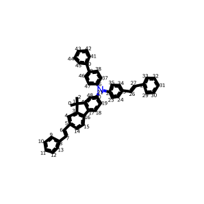 CC1(C)c2cc(/C=C/c3ccccc3)ccc2-c2ccc(N(c3ccc(/C=C/c4ccccc4)cc3)c3ccc(-c4ccccc4)cc3)cc21